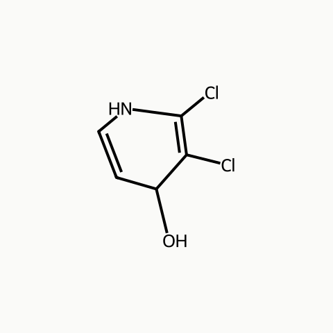 OC1C=CNC(Cl)=C1Cl